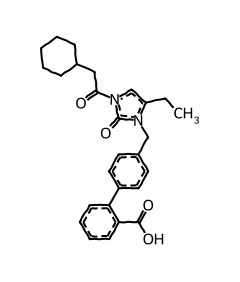 CCc1cn(C(=O)CC2CCCCC2)c(=O)n1Cc1ccc(-c2ccccc2C(=O)O)cc1